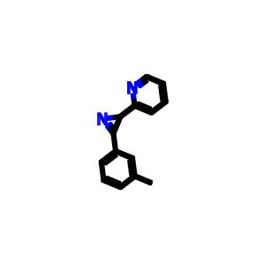 Cc1cccc(C2=NC2c2ccccn2)c1